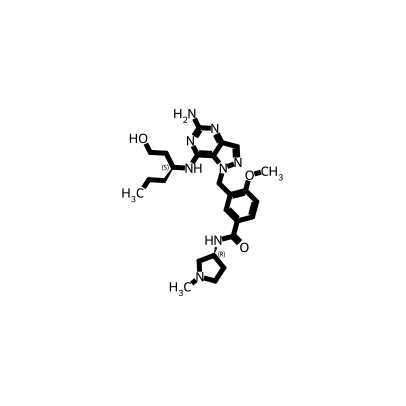 CCC[C@@H](CCO)Nc1nc(N)nc2cnn(Cc3cc(C(=O)N[C@@H]4CCN(C)C4)ccc3OC)c12